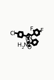 NS(=O)(=O)c1ccccc1-n1nc(-c2ccc(Cl)cc2)cc1-c1ccc(F)cc1F